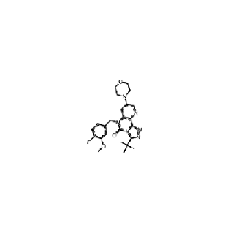 COc1cc(Cn2c(=O)n3c(C(C)(C)C)nnc3c3ncc(N4CCOCC4)cc32)ccc1F